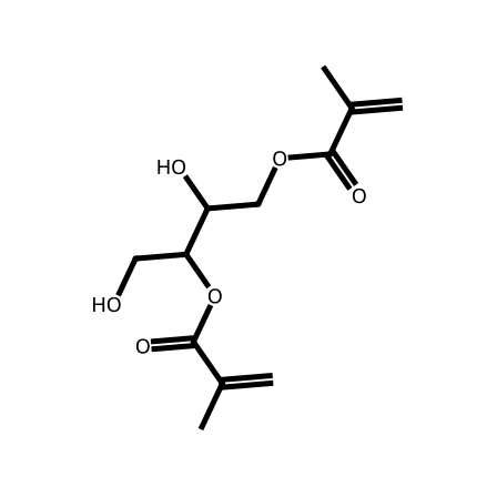 C=C(C)C(=O)OCC(O)C(CO)OC(=O)C(=C)C